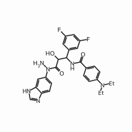 CCN(CC)c1ccc(C(=O)NC(c2cc(F)cc(F)c2)C(O)C(=O)N(N)c2ccc3nc[nH]c3c2)cc1